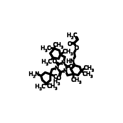 C=CC(=O)OCCNC1CC(C)(C)CC(C)(Cn2c(=O)n(CC3(C)CC(C)CC(C)(C)C3)c(=O)n(CC3(C)CC(N)CC(C)(C)C3)c2=O)C1